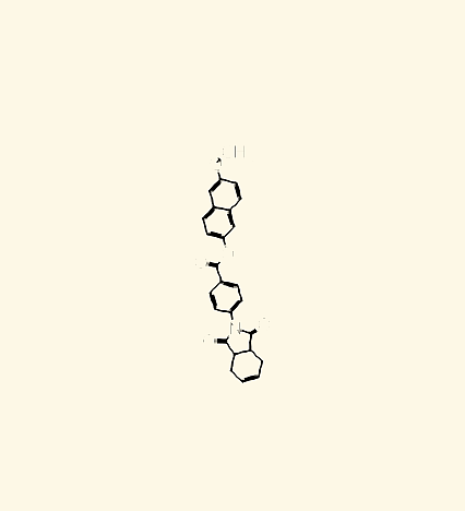 COc1ccc2cc(OC(=O)c3ccc(N4C(=O)C5CC=CCC5C4=O)cc3)ccc2c1